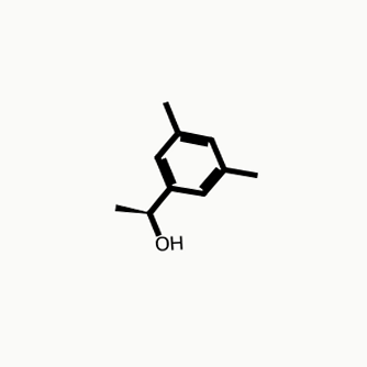 Cc1cc(C)cc([C@H](C)O)c1